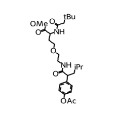 COC(=O)C(CCOCCNC(=O)C(CC(C)C)c1ccc(OC(C)=O)cc1)NC(=O)CC(C)(C)C